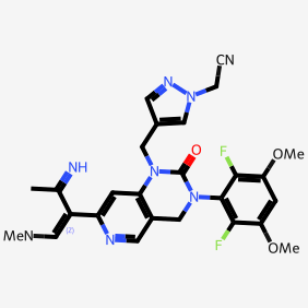 CN/C=C(\C(C)=N)c1cc2c(cn1)CN(c1c(F)c(OC)cc(OC)c1F)C(=O)N2Cc1cnn(CC#N)c1